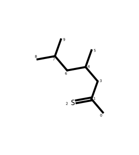 CC(=S)CC(C)CC(C)C